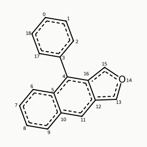 c1ccc(-c2c3ccccc3cc3cocc23)cc1